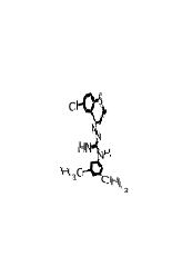 Cc1cc(C)cc(NC(=N)N=NC2CCSc3ccc(Cl)cc32)c1